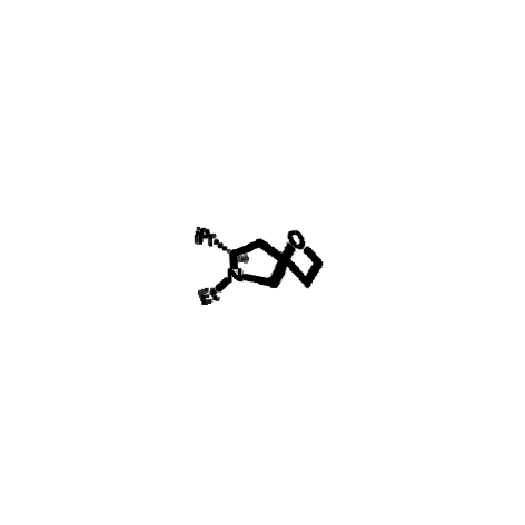 CCN1CC2(CCO2)C[C@H]1C(C)C